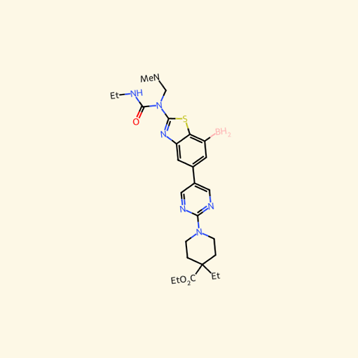 Bc1cc(-c2cnc(N3CCC(CC)(C(=O)OCC)CC3)nc2)cc2nc(N(CNC)C(=O)NCC)sc12